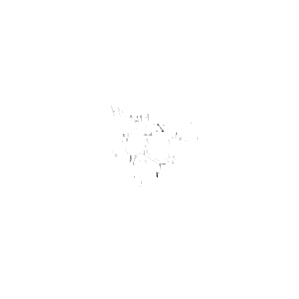 CCN(CC)c1nc(N(CC)CC)c2nc(N)nc(N)c2n1.Cl